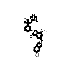 Cn1cnnc1CC1(c2cccc(N3Cc4c(cc(Cn5cc6ccc(Cl)cc6c5)cc4C(F)(F)F)C3=O)c2)COC1